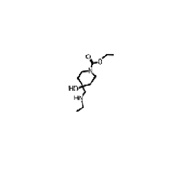 CCNCC1(O)CCN(C(=O)OCC)CC1